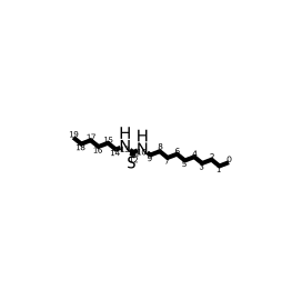 CCCCCCCCCCNC(=S)NCCCCCC